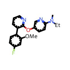 CCN(C)c1ccc(Oc2ncccc2-c2ccc(F)cc2OC)cn1